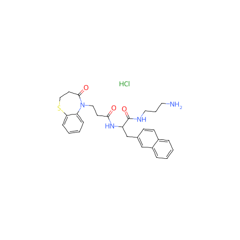 Cl.NCCCNC(=O)C(Cc1ccc2ccccc2c1)NC(=O)CCN1C(=O)CCSc2ccccc21